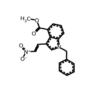 COC(=O)c1cccc2c1c(/C=C/[N+](=O)[O-])cn2Cc1ccccc1